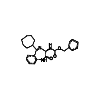 O=C(N[C@@H]1N=C(C2CCCCCC2)c2ccccc2NC1=O)OCc1ccccc1